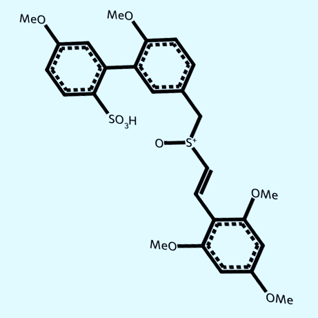 COc1cc(OC)c(C=C[S+]([O-])Cc2ccc(OC)c(-c3cc(OC)ccc3S(=O)(=O)O)c2)c(OC)c1